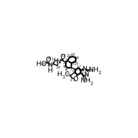 CC1COc2c1c(-c1ccc(C(=O)N3CC(NC(=O)O)C3)c3ccccc13)cc1nc(N)nc(N)c21